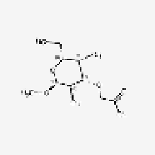 CO[C@H]1O[C@H](CO)[C@H](O)[C@H](OCC(=O)O)[C@H]1O